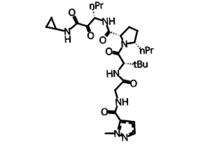 CCC[C@H]1CC[C@@H](C(=O)N[C@@H](CCC)C(=O)C(=O)NC2CC2)N1C(=O)[C@@H](NC(=O)CNC(=O)c1ccnn1C)C(C)(C)C